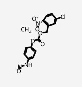 C.O=NNc1ccc(OC(=O)OCc2cc(Cl)ccc2[N+](=O)[O-])cc1